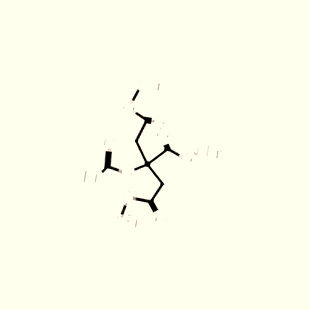 CCCOC(=O)CC(CC(=O)OCCC)(OC(=O)CC)C(=O)OCCC